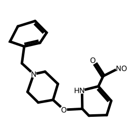 O=NC(=O)C1=CCCC(OC2CCN(CC3=CC=CCC3)CC2)N1